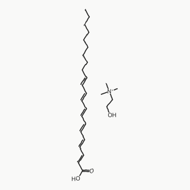 CCCCCCCCCC=CC=CC=CC=CC=CC=CC(=O)O.C[N+](C)(C)CCO